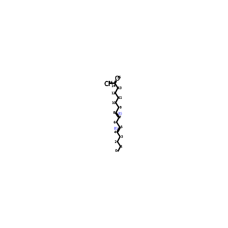 CCCC/C=C/C/C=C/CCCCCC(=O)Cl